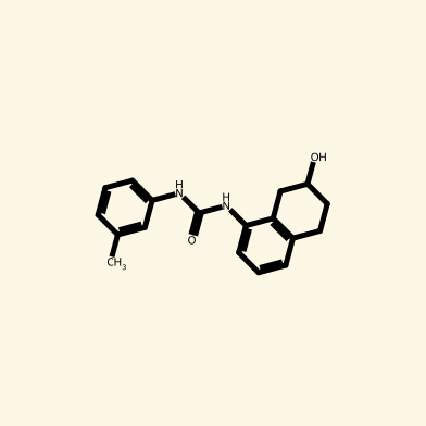 Cc1cccc(NC(=O)Nc2cccc3c2CC(O)CC3)c1